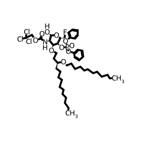 CCCCCCCCCCCCO[C@@H](CCCCCCCCCCC)CCO[C@@H]1[C@H](NC(=O)OCC(Cl)(Cl)Cl)[C@@H](O)O[C@H](CF)[C@H]1OP(=O)(Oc1ccccc1)Oc1ccccc1